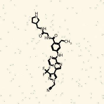 CCc1cc(Nc2nccn3c(-c4cn(CC#N)nc4C(F)(F)F)cnc23)ccc1C(=O)NCC(=O)NCC1CCNC1